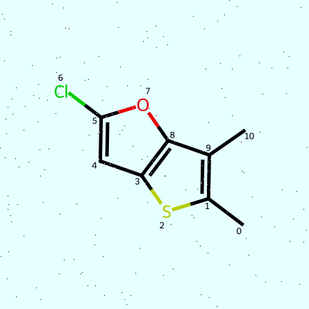 Cc1sc2cc(Cl)oc2c1C